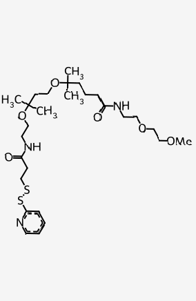 COCCOCCNC(=O)CCCC(C)(C)OCCC(C)(C)OCCNC(=O)CCSSc1ccccn1